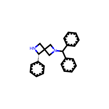 c1ccc(C(c2ccccc2)N2CC3(CN[C@H]3c3ccccc3)C2)cc1